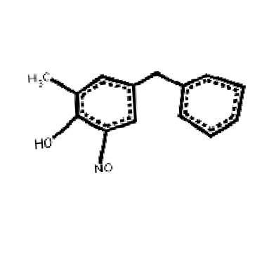 Cc1cc(Cc2ccccc2)cc(N=O)c1O